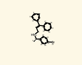 C[C@@H](NCC=C(c1ccccc1)c1ccccc1)c1ccc(Br)cc1